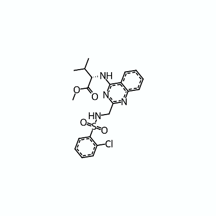 COC(=O)[C@@H](Nc1nc(CNS(=O)(=O)c2ccccc2Cl)nc2ccccc12)C(C)C